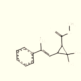 COC(=O)C1C(/C=C(\C)c2ccccc2)C1(C)C